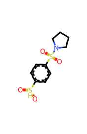 O=[SH](=O)c1ccc(S(=O)(=O)N2CCCC2)cc1